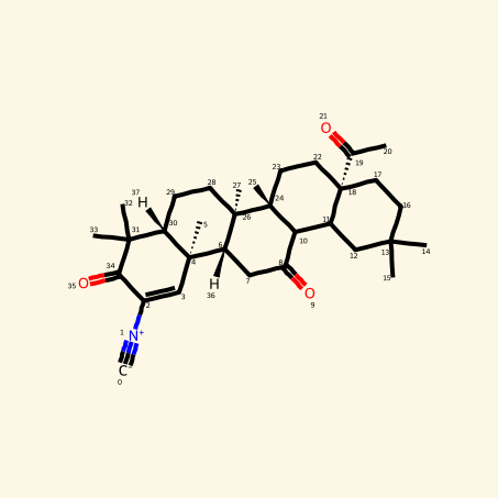 [C-]#[N+]C1=C[C@]2(C)[C@H]3CC(=O)C4C5CC(C)(C)CC[C@]5(C(C)=O)CC[C@@]4(C)[C@]3(C)CC[C@H]2C(C)(C)C1=O